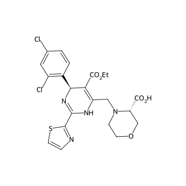 CCOC(=O)C1=C(CN2CCOC[C@H]2C(=O)O)NC(c2nccs2)=N[C@H]1c1ccc(Cl)cc1Cl